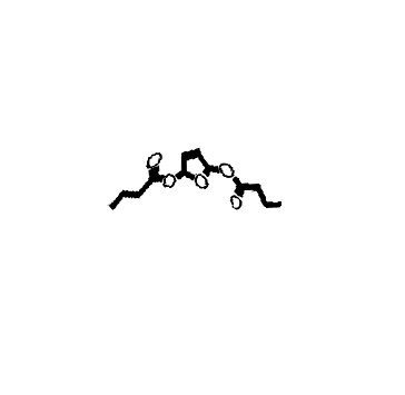 CCCC(=O)OC1C=CC(OC(=O)CCC)O1